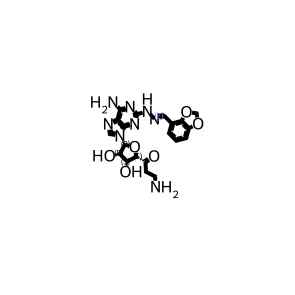 NCCC(=O)[C@H]1O[C@@H](n2cnc3c(N)nc(N/N=C/c4cccc5c4OCO5)nc32)[C@H](O)[C@@H]1O